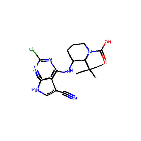 CC(C)(C)C1C(Nc2nc(Cl)nc3[nH]cc(C#N)c23)CCCN1C(=O)O